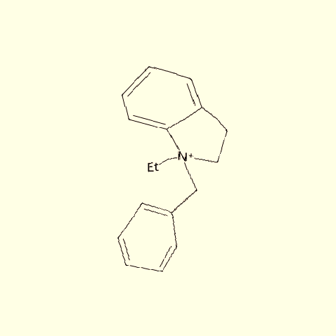 CC[N+]1(Cc2ccccc2)CCc2ccccc21